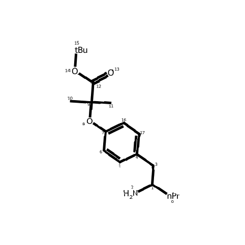 CCCC(N)Cc1ccc(OC(C)(C)C(=O)OC(C)(C)C)cc1